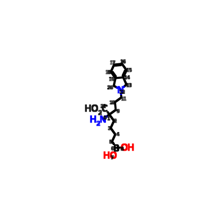 NC(CCCCB(O)O)(CCCN1Cc2ccccc2C1)C(=O)O